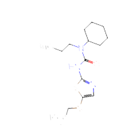 CC(C)COCCN(C(=O)Nc1ncc(SCC(=O)O)s1)C1CCCCC1